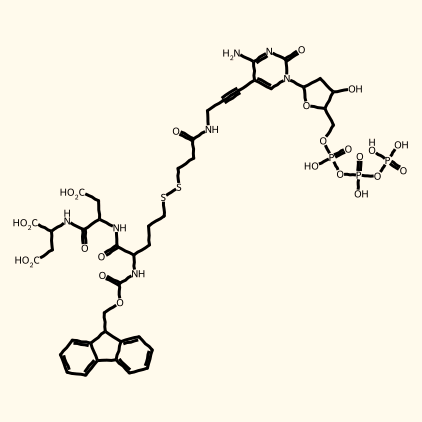 Nc1nc(=O)n(C2CC(O)C(COP(=O)(O)OP(=O)(O)OP(=O)(O)O)O2)cc1C#CCNC(=O)CCSSCCCC(NC(=O)OCC1c2ccccc2-c2ccccc21)C(=O)NC(CC(=O)O)C(=O)NC(CC(=O)O)C(=O)O